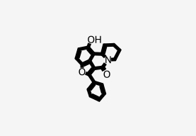 O=c1c2c(-c3ccccc3)oc3ccc(O)c(c4n1CCCC=4)c32